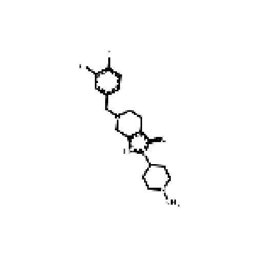 CN1CCC(n2[nH]c3c(c2=O)CCN(Cc2ccc(F)c(Cl)c2)C3)CC1